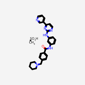 CS(=O)(=O)O.O=C(Nc1cccc(Nc2nccc(-c3cccnc3)n2)c1)c1ccc(CN2CCCCC2)cc1